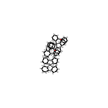 c1ccc(-c2ccccc2C2(c3ccccc3-c3ccccc3)c3ccccc3-c3ccc(N(c4cccc5c4-c4ccccc4C54c5ccccc5-c5ccccc54)c4cccc5sc6ccccc6c45)cc32)cc1